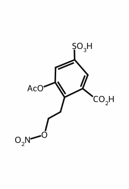 CC(=O)Oc1cc(S(=O)(=O)O)cc(C(=O)O)c1CCO[N+](=O)[O-]